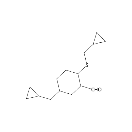 O=CC1CC(CC2CC2)CCC1SCC1CC1